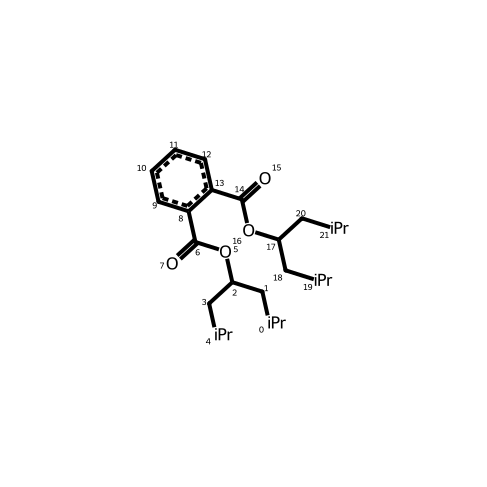 CC(C)CC(CC(C)C)OC(=O)c1ccccc1C(=O)OC(CC(C)C)CC(C)C